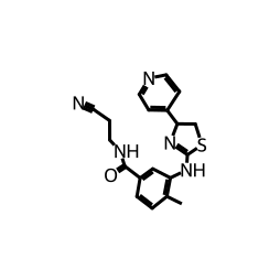 Cc1ccc(C(=O)NCCC#N)cc1NC1=NC(c2ccncc2)CS1